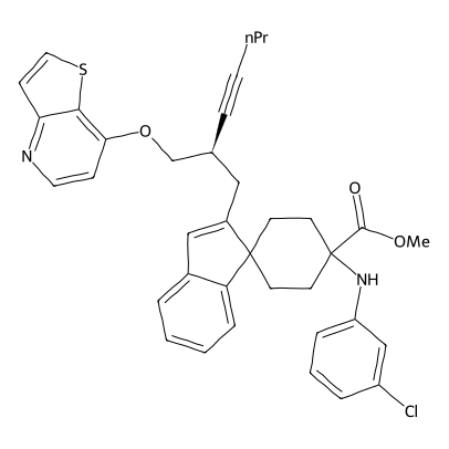 CCCC#C[C@H](COc1ccnc2ccsc12)CC1=Cc2ccccc2C12CCC(Nc1cccc(Cl)c1)(C(=O)OC)CC2